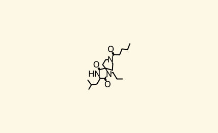 CCCCC(=O)N1CCC2(CC1)C(=O)NC(CC(C)C)C(=O)N2CCC